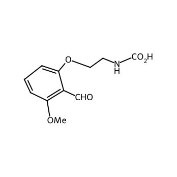 COc1cccc(OCCNC(=O)O)c1C=O